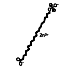 O=C([O-])CCCCCCCCCCCCCCCCCCCCCOS(=O)(=O)[O-].[Zn+2]